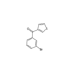 O=C(c1ccsc1)c1cccc(Br)c1